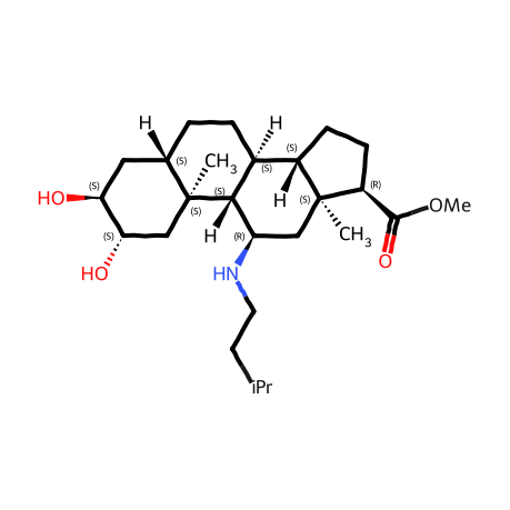 COC(=O)[C@@H]1CC[C@H]2[C@@H]3CC[C@H]4C[C@H](O)[C@@H](O)C[C@]4(C)[C@H]3[C@H](NCCC(C)C)C[C@]12C